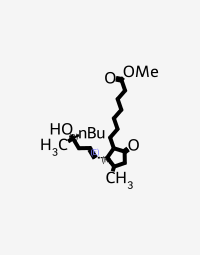 CCCC[C@@](C)(O)C/C=C/[C@H]1C(C)CC(=O)C1CCCCCCC(=O)OC